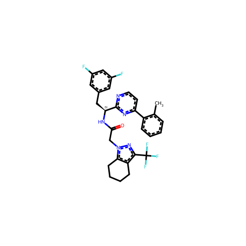 Cc1ccccc1-c1ccnc([C@H](Cc2cc(F)cc(F)c2)NC(=O)Cn2nc(C(F)(F)F)c3c2CCCC3)n1